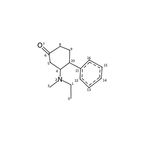 CCN(C)C1CC(=O)CCC1c1ccccc1